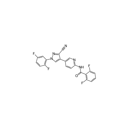 N#Cc1nn(-c2cc(F)ccc2F)cc1-c1ccc(NC(=O)c2c(F)cccc2F)nc1